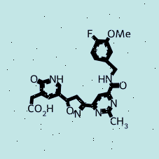 COc1cc(CNC(=O)c2cc(C3=NOC(c4c[nH]c(=O)c(CC(=O)O)c4)C3)nc(C)n2)ccc1F